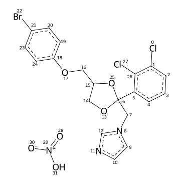 Clc1cccc(C2(Cn3ccnc3)OCC(COc3ccc(Br)cc3)O2)c1Cl.O=[N+]([O-])O